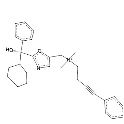 C[N+](C)(CCC#Cc1ccccc1)Cc1cnc([C@](O)(c2ccccc2)C2CCCCC2)o1